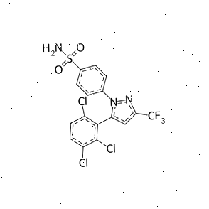 NS(=O)(=O)c1ccc(-n2nc(C(F)(F)F)cc2-c2c(Cl)ccc(Cl)c2Cl)cc1